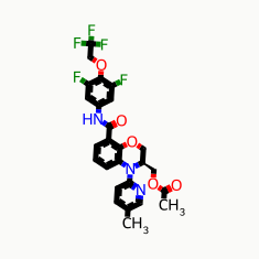 CC(=O)OC[C@@H]1COc2c(C(=O)Nc3cc(F)c(OCC(F)(F)F)c(F)c3)cccc2N1c1ccc(C)cn1